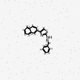 C(=N\Nc1nc(-c2ccc3ccccc3c2)cs1)/c1ccccc1